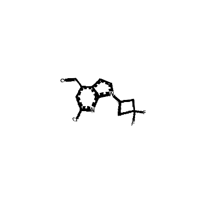 O=Cc1cc(Cl)nc2c1ccn2C1CC(F)(F)C1